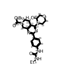 CCNC(=O)Nc1ccc(-c2nc3c(c(N4CCOC[C@@H]4C)n2)CCN(C(=O)OCC(C)C)C3)cc1